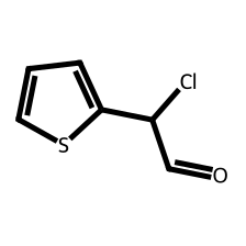 O=CC(Cl)c1cccs1